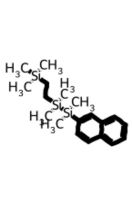 C[Si](C)(C)CC[Si](C)(C)[Si](C)(C)c1ccc2ccccc2c1